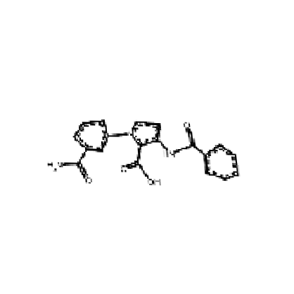 NC(=O)c1cccc(-n2ccc(NC(=O)c3ccccc3)c2C(=O)O)c1